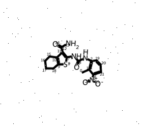 Cc1c(NC(=O)Nc2sc3c(c2C(N)=O)CCCC3)cccc1[N+](=O)[O-]